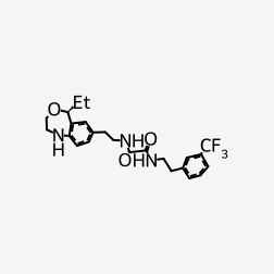 CC[C@@H]1OCCNc2ccc(CCNC(=O)C(=O)NCCc3cccc(C(F)(F)F)c3)cc21